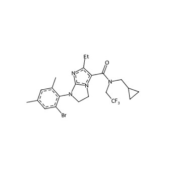 CCc1nc2n(c1C(=O)N(CC1CC1)CC(F)(F)F)CCN2c1c(C)cc(C)cc1Br